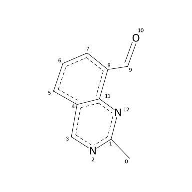 Cc1ncc2cccc(C=O)c2n1